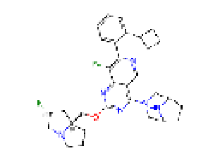 Fc1c(-c2ccccc2C2CCC2)ncc2c(N3CC4CCC(C3)N4)nc(OC[C@@]34CCCN3C[C@H](F)C4)nc12